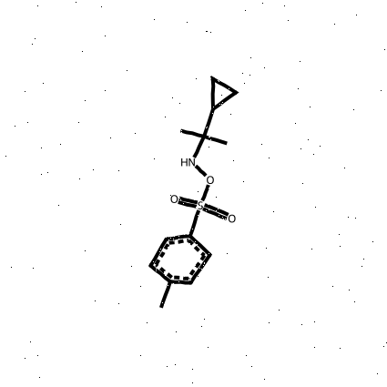 Cc1ccc(S(=O)(=O)ONC(C)(C)C2CC2)cc1